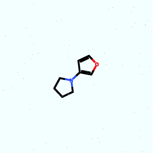 c1cc(N2CCCC2)co1